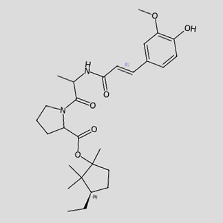 CC[C@@H]1CCC(C)(OC(=O)C2CCCN2C(=O)C(C)NC(=O)/C=C/c2ccc(O)c(OC)c2)C1(C)C